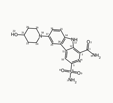 NC(=O)c1nc(S(N)(=O)=O)cc2c1[nH]c1ccc(N3CCC(O)CC3)cc12